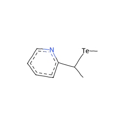 C[Te]C(C)c1ccccn1